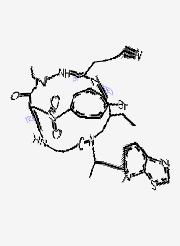 CCC1/C=N/C(CC#N)=C\NN(C)C(=O)/C(S(=O)(=O)c2ccc(Br)cc2)=C/NCCN(C(C)c2ccc3ncsc3n2)C1